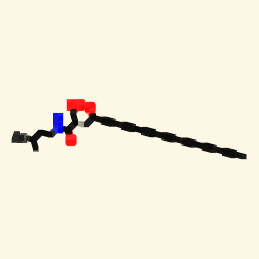 CC#CC#CC#CC#CC#CC#CC#CC(=O)C[C@@H](CO)C(=O)NCCC(C)C(C)=O